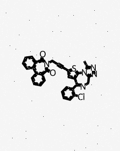 Cc1nnc2n1-c1sc(C#CCn3c(=O)c4ccccc4c4ccccc4c3=O)cc1C(c1ccccc1Cl)=NC2